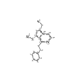 N#CCc1cc(SC#N)c2c(CCc3ccccc3)nccn12